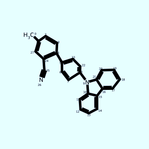 Cc1ccc(-c2ccc(-n3c4ccccc4c4ccccc43)cc2)c(C#N)c1